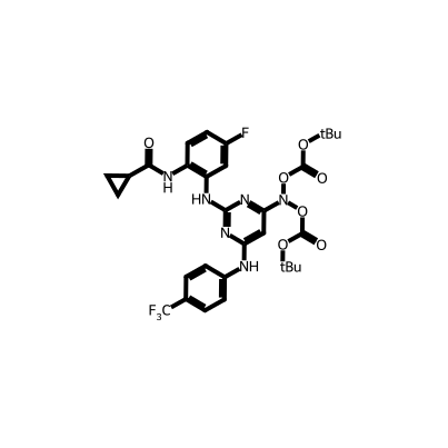 CC(C)(C)OC(=O)ON(OC(=O)OC(C)(C)C)c1cc(Nc2ccc(C(F)(F)F)cc2)nc(Nc2cc(F)ccc2NC(=O)C2CC2)n1